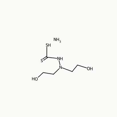 N.OCCN(CCO)NC(=S)S